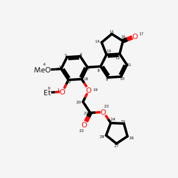 CCOc1c(OC)ccc(-c2cccc3c2CCC3=O)c1OCC(=O)OC1CCCC1